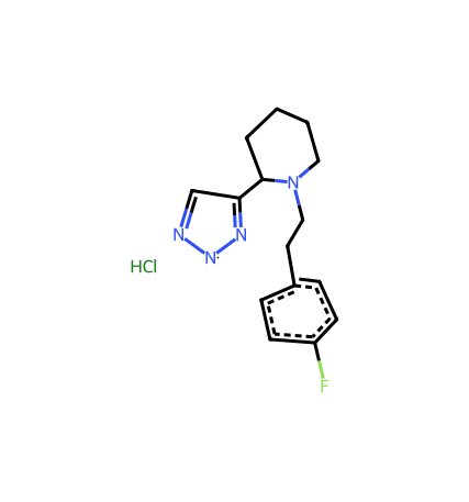 Cl.Fc1ccc(CCN2CCCCC2C2=N[N]N=C2)cc1